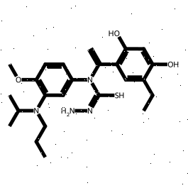 C=C(c1cc(CC)c(O)cc1O)N(/C(S)=N\N)c1ccc(OC)c(N(CCC)C(C)C)c1